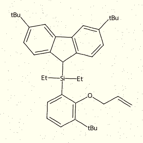 C=CCOc1c(C(C)(C)C)cccc1[Si](CC)(CC)C1c2ccc(C(C)(C)C)cc2-c2cc(C(C)(C)C)ccc21